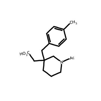 CC(=O)N1CCCC(CC(=O)O)(Cc2ccc(C)cc2)C1